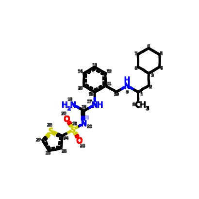 CC(CC1CCCCC1)NCc1ccccc1N/C(N)=N/S(=O)(=O)c1cccs1